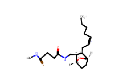 CCCCNC(=S)CCC(=O)NC[C@H]1[C@@H](C/C=C\CCCC(=O)O)[C@H]2CC[C@@H]1O2